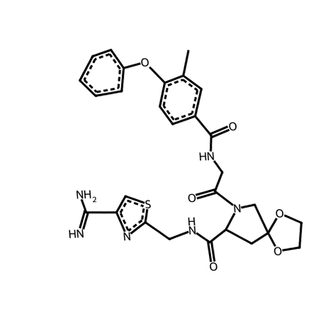 Cc1cc(C(=O)NCC(=O)N2CC3(CC2C(=O)NCc2nc(C(=N)N)cs2)OCCO3)ccc1Oc1ccccc1